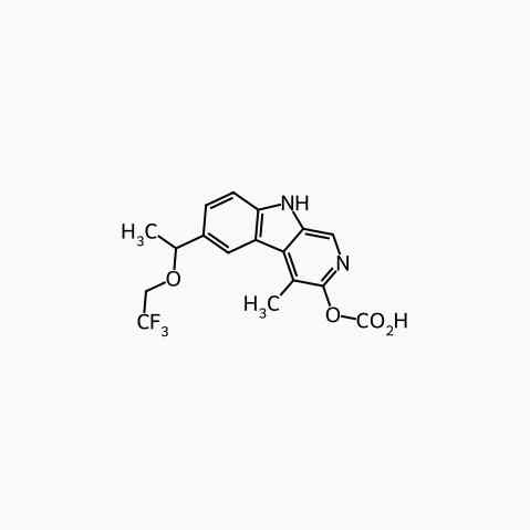 Cc1c(OC(=O)O)ncc2[nH]c3ccc(C(C)OCC(F)(F)F)cc3c12